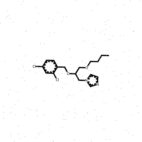 CCCCOCC(Cn1ccnc1)OCc1ccc(Cl)cc1Cl